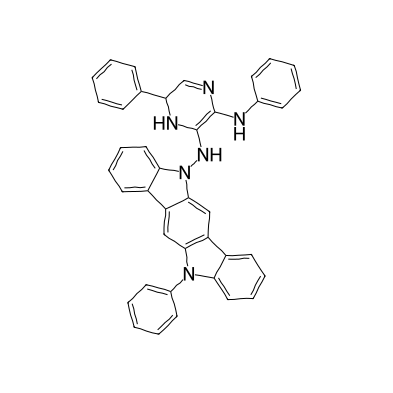 C1=NC(Nc2ccccc2)=C(Nn2c3ccccc3c3cc4c(cc32)c2ccccc2n4-c2ccccc2)NC1c1ccccc1